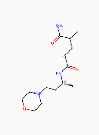 CC(C[CH]C(=O)N[C@@H](C)CCN1CCOCC1)C(N)=O